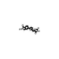 CC(C)N1Cc2cc(-c3ccc(/C=C4\NC(=S)NC4=O)s3)ccc2C1=O